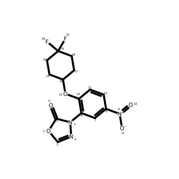 O=c1ocnn1-c1cc([N+](=O)[O-])ccc1OC1CCC(F)(F)CC1